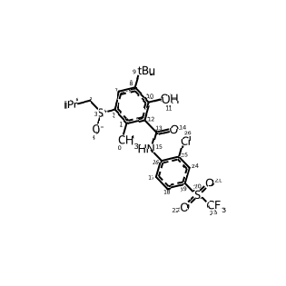 Cc1c([S+]([O-])CC(C)C)cc(C(C)(C)C)c(O)c1C(=O)Nc1ccc(S(=O)(=O)C(F)(F)F)cc1Cl